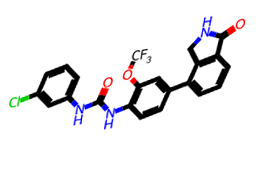 O=C(Nc1cccc(Cl)c1)Nc1ccc(-c2cccc3c2CNC3=O)cc1OC(F)(F)F